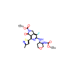 Cc1cc(-c2nc(NC3CCOCC3NC(=O)OC(C)(C)C)c(F)c3c2C(=O)N(C(=O)OC(C)(C)C)C3)sn1